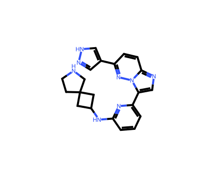 c1cc(NC2CC3(CCNC3)C2)nc(-c2cnc3ccc(-c4cn[nH]c4)nn23)c1